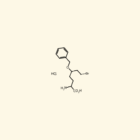 Cl.NC(CCC(CCBr)OCc1ccccc1)C(=O)O